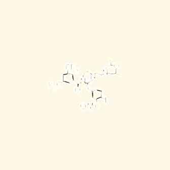 COc1cc(C[C@@H]2CN(CCN3CC(C)OC(C)C3)CCN2C(=O)c2cc(C(F)(F)F)cc(C(F)(F)F)c2)ccc1F